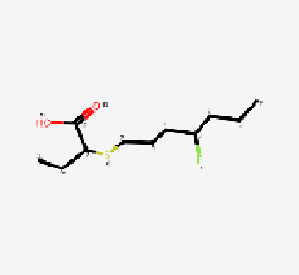 CCCC(F)CCCSC(CC)C(=O)O